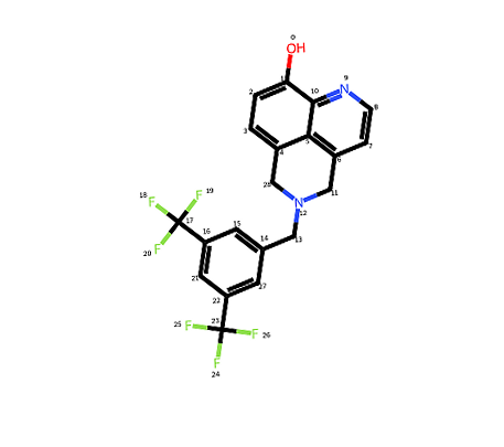 Oc1ccc2c3c(ccnc13)CN(Cc1cc(C(F)(F)F)cc(C(F)(F)F)c1)C2